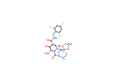 C[C@@H]1CO[C@@]2(CC[C@H](C)N3C[C@H]2n2cc(C(=O)NCc4c(F)cc(F)cc4F)c(=O)c(O)c2C3=O)O1